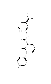 C=N/C(=C\C(C)=C(/C)O)NC(=O)c1cccn(-c2ccc(F)cc2)c1=O